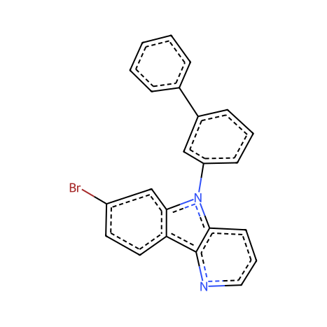 Brc1ccc2c3ncccc3n(-c3cccc(-c4ccccc4)c3)c2c1